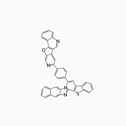 c1ccc2cc3c(cc2c1)nc1c2sc4ccccc4c2cc(-c2ccc(-c4cc5c(cn4)oc4c6ccccc6ncc54)cc2)n31